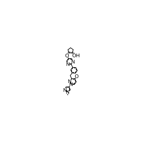 Cn1cc(-n2ccc(=O)c(Cc3cccc(-c4ncc(O[C@@H]5CCC[C@H]5O)cn4)c3)n2)cn1